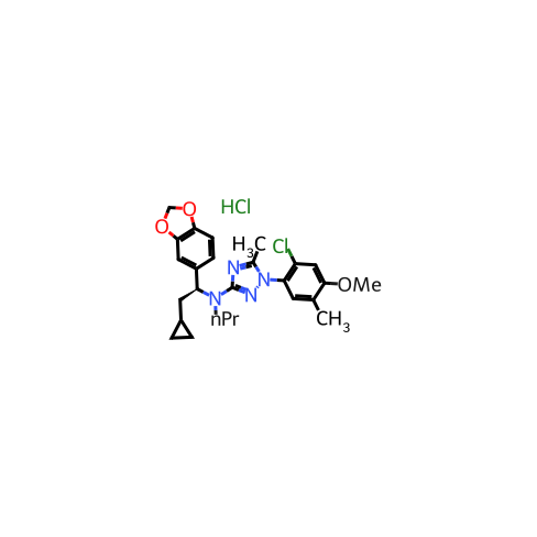 CCCN(c1nc(C)n(-c2cc(C)c(OC)cc2Cl)n1)[C@@H](CC1CC1)c1ccc2c(c1)OCO2.Cl